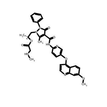 CNCC(=O)O[C@H](C)Cn1c(C)c(C(=O)Nc2ccc(Oc3ccnc4cc(OC)ccc34)cn2)c(=O)n1-c1ccccc1